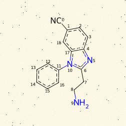 N#Cc1ccc2nc(CCN)n(-c3ccccc3)c2c1